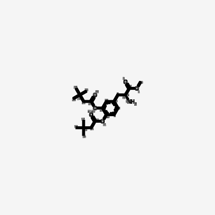 COC(=O)[C@@H](N)Cc1ccc(OC(=O)CC(C)(C)C)c(OC(=O)CC(C)(C)C)c1